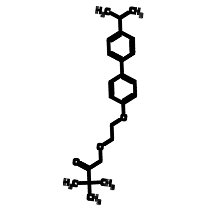 CC(C)c1ccc(-c2ccc(OCCOCC(=O)C(C)(C)C)cc2)cc1